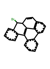 BrC1c2ccccc2C(c2ccccc2-c2ccccc2)=C2C=CC=CC21